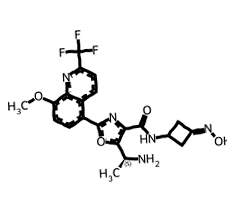 COc1ccc(-c2nc(C(=O)NC3CC(=NO)C3)c([C@H](C)N)o2)c2ccc(C(F)(F)F)nc12